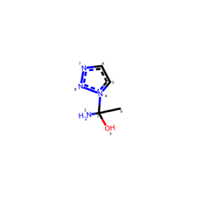 CC(N)(O)n1ccnn1